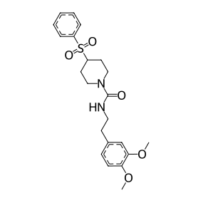 COc1ccc(CCNC(=O)N2CCC(S(=O)(=O)c3ccccc3)CC2)cc1OC